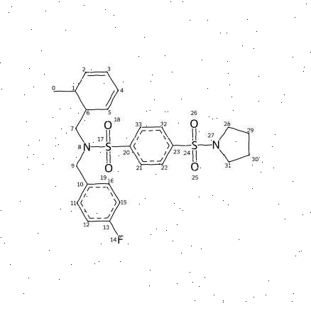 CC1C=CC=CC1CN(Cc1ccc(F)cc1)S(=O)(=O)c1ccc(S(=O)(=O)N2CCCC2)cc1